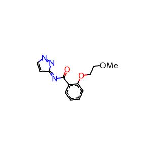 COCCOc1ccccc1C(=O)N=C1C=CN=N1